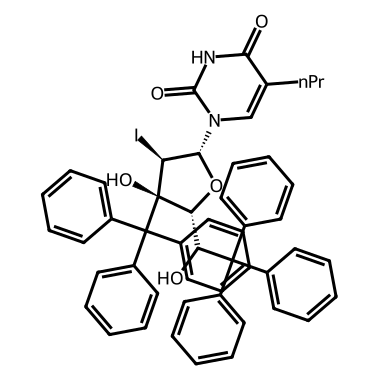 CCCc1cn([C@@H]2O[C@H](C(O)C(c3ccccc3)(c3ccccc3)c3ccccc3)[C@](O)(C(c3ccccc3)(c3ccccc3)c3ccccc3)[C@H]2I)c(=O)[nH]c1=O